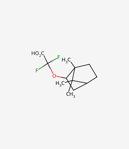 CC1(C)C2CCC1(C)C(OC(F)(F)C(=O)O)C2